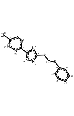 Clc1ccc(-c2nc(COCc3ccccc3)ns2)nn1